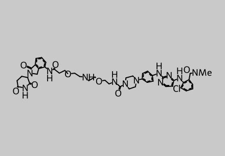 CNC(=O)c1ccccc1Nc1nc(Nc2ccc(N3CCN(C(=O)NCCOCCNCCOCCC(=O)Nc4cccc5c4CN(C4CCC(=O)NC4=O)C5=O)CC3)cc2)ncc1Cl